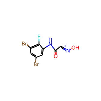 O=C(/C=N/O)Nc1cc(Br)cc(Br)c1F